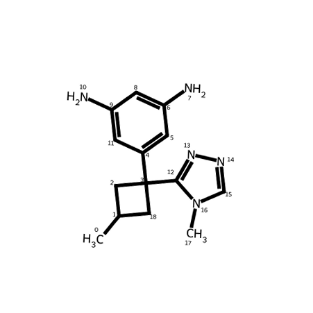 CC1CC(c2cc(N)cc(N)c2)(c2nncn2C)C1